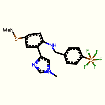 CNSc1ccc(NCc2ccc(S(F)(F)(F)(F)F)cc2)c(-c2cn(C)cn2)c1